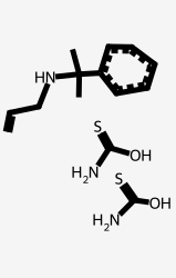 C=CCNC(C)(C)c1ccccc1.NC(O)=S.NC(O)=S